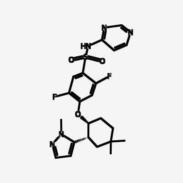 Cn1nccc1[C@H]1CC(C)(C)CC[C@@H]1Oc1cc(F)c(S(=O)(=O)Nc2ccncn2)cc1F